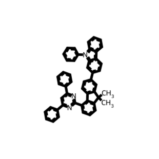 CC1(C)c2cc(-c3ccc4c5ccccc5n(-c5ccccc5)c4c3)ccc2-c2c(-c3nc(-c4ccccc4)cc(-c4ccccc4)n3)cccc21